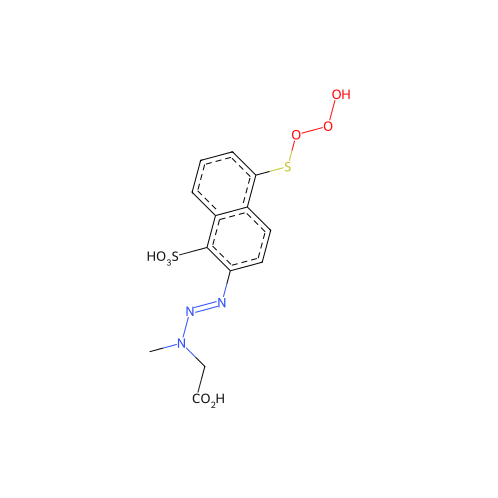 CN(CC(=O)O)N=Nc1ccc2c(SOOO)cccc2c1S(=O)(=O)O